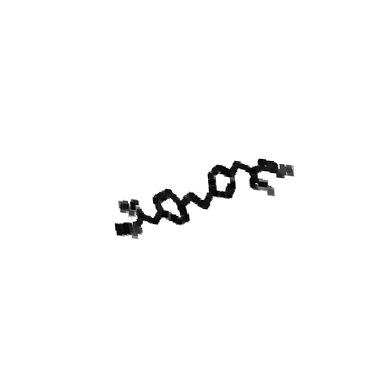 C=C(Cc1ccc(C=Cc2ccc(CC(=C)C(=O)OCC)cc2)cc1)C(=O)O